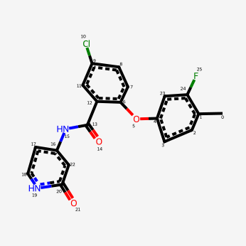 Cc1ccc(Oc2ccc(Cl)cc2C(=O)Nc2cc[nH]c(=O)c2)cc1F